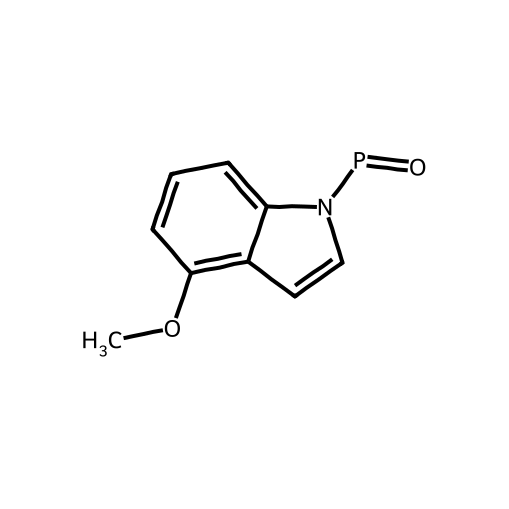 COc1cccc2c1ccn2P=O